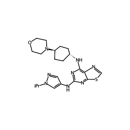 CC(C)n1cc(Nc2nc(N[C@H]3CC[C@H](N4CCOCC4)CC3)c3ncsc3n2)cn1